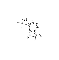 CCC(C)(C)c1[c]ccc(C(C)(C)CC)c1